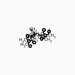 C=CCOCC(CC)(COCC(O)COc1c(C(C)c2ccccc2)cc(C(C)c2ccccc2)cc1C(C)c1ccccc1)COC(O)COc1c(C(C)c2ccccc2)cc(C(C)c2ccccc2)cc1C(C)c1ccccc1